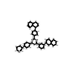 c1ccc2cccc(-c3ccc(C4=NC(c5ccc(-c6cccnc6)cc5)CC(c5cccc(-c6ccc7ccccc7c6)c5)=N4)cc3)c2c#1